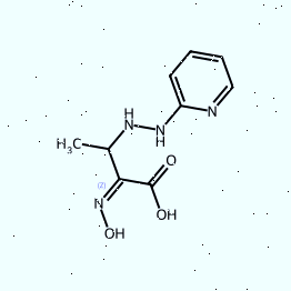 CC(NNc1ccccn1)/C(=N/O)C(=O)O